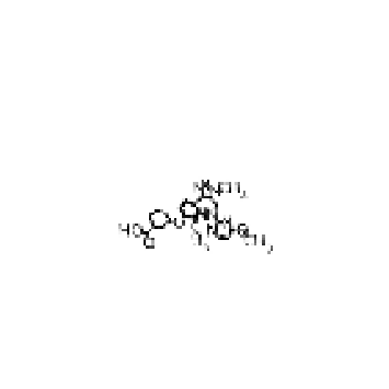 COc1ccnc(NCc2c(-c3ccc(O[C@H]4CCC[C@H](C(=O)O)C4)c(C)n3)nnn2C)n1